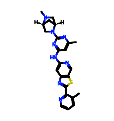 Cc1cc(Nc2cc3nc(-c4ncccc4C)sc3cn2)nc(N2C[C@@H]3C[C@H]2CN3C)n1